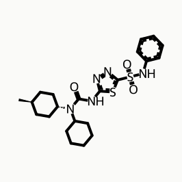 C[C@H]1CC[C@H](N(C(=O)Nc2nnc(S(=O)(=O)Nc3ccccc3)s2)C2CCCCC2)CC1